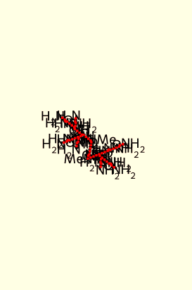 CNC(CCCCNC(=O)C(CCCCNC(=O)C(N)CCCCNC(=O)C(N)CCCCN)NC(=O)C(CCCCNC(=O)C(N)CCCCN)NC(=O)C(N)CCCCN)C(=O)NCCCCCCNC(=O)C(CCCCNC(=O)C(CCCCNC(=O)C(CCCCNC(=O)C(N)CCCCN)NC(=O)C(N)CCCCN)NC(=O)C(CCCCNC(=O)C(N)CCCCN)NC(=O)C(N)CCCCN)NC